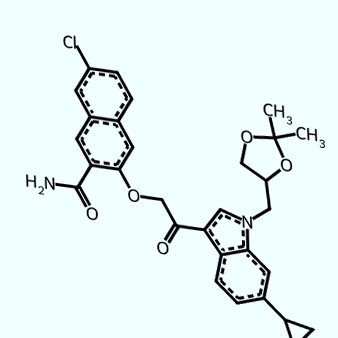 CC1(C)OCC(Cn2cc(C(=O)COc3cc4ccc(Cl)cc4cc3C(N)=O)c3ccc(C4CC4)cc32)O1